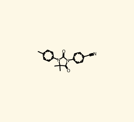 Cc1ccc(N2C(=O)N(c3ccc(C#N)cc3)C(=O)C2(C)C)cc1